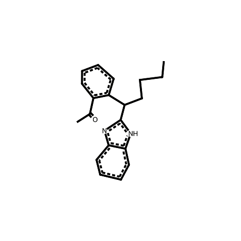 CCCCC(c1nc2ccccc2[nH]1)c1ccccc1C(C)=O